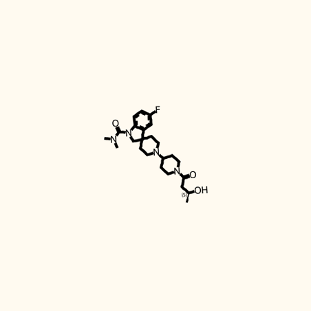 C[C@H](O)CC(=O)N1CCC(N2CCC3(CC2)CN(C(=O)N(C)C)c2ccc(F)cc23)CC1